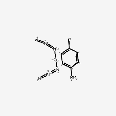 Cc1ccc(N)cc1.[N-]=[N+]=[N][Cu][N]=[N+]=[N-]